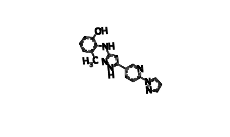 Cc1cccc(O)c1Nc1cc(-c2ccc(-n3cccn3)nc2)[nH]n1